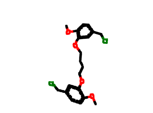 COc1ccc(CCl)cc1OCCCCOc1cc(CCl)ccc1OC